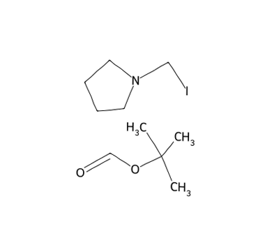 CC(C)(C)OC=O.ICN1CCCC1